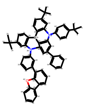 CC(C)(C)c1ccc(N2c3cc(C(C)(C)C)ccc3B3c4ccc(C(C)(C)C)cc4N(c4cccc(-c5cccc6c5oc5ccccc56)c4)c4cc(-c5ccccc5)cc2c43)cc1